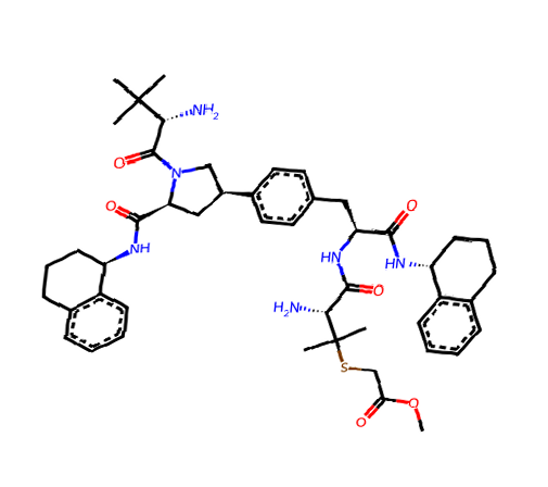 COC(=O)CSC(C)(C)[C@H](N)C(=O)N[C@@H](Cc1ccc([C@H]2C[C@@H](C(=O)N[C@@H]3CCCc4ccccc43)N(C(=O)[C@@H](N)C(C)(C)C)C2)cc1)C(=O)N[C@@H]1CCCc2ccccc21